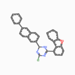 ClC1=NC(c2ccc3cc(-c4ccccc4)ccc3c2)NC(c2cccc3oc4ccccc4c23)=N1